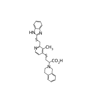 Cc1c(SCC(C(=O)O)N2CCc3ccccc3C2)ccnc1CSc1nc2ccccc2[nH]1